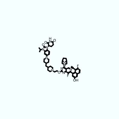 C#Cc1c(F)ccc2cc(O)cc(-c3ncc4c(N5CC6CCC(C5)N6)nc(OCCN5CCC(CC6CCN(c7ccc8c(c7)n(C(C)C)c(=O)n8C7CCC(=O)NC7=O)CC6)CC5)nc4c3F)c12